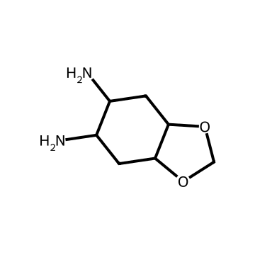 NC1CC2OCOC2CC1N